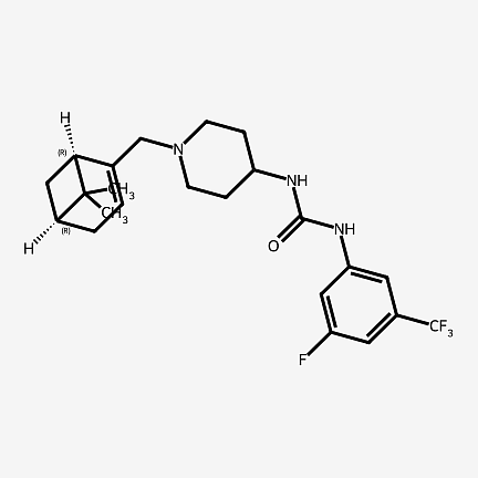 CC1(C)[C@H]2CC=C(CN3CCC(NC(=O)Nc4cc(F)cc(C(F)(F)F)c4)CC3)[C@@H]1C2